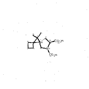 CC1(C)C2(CCC2)[C@@]12C[C@@H](C(=O)O)N(C(=O)O)C2